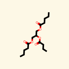 CCCCC(=O)OCC(COC(=O)CCCC)OC(=O)CCC